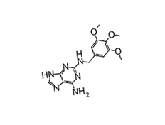 COc1cc(CNc2nc(N)c3nc[nH]c3n2)cc(OC)c1OC